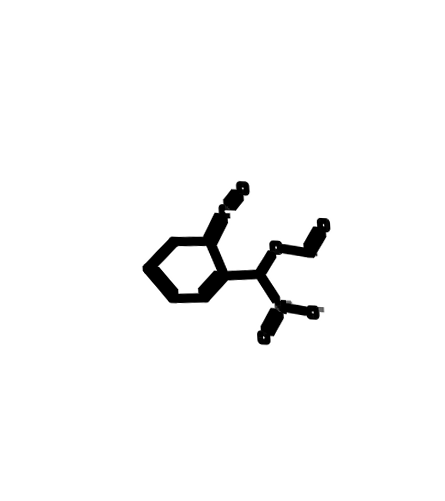 O=[C]OC(C1=CC=CCC1=C=O)[N+](=O)[O-]